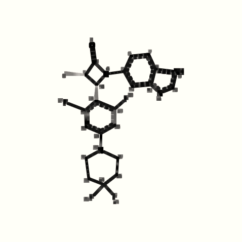 C[C@@H]1C(=O)N(c2ccc3[nH]cnc3c2)[C@@H]1c1c(F)cc(N2CCC(F)(F)CC2)cc1F